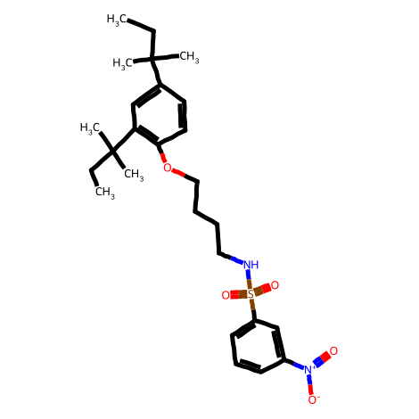 CCC(C)(C)c1ccc(OCCCCNS(=O)(=O)c2cccc([N+](=O)[O-])c2)c(C(C)(C)CC)c1